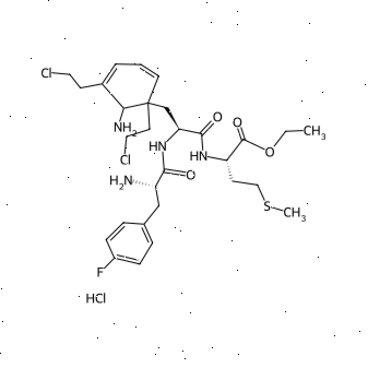 CCOC(=O)[C@H](CCSC)NC(=O)[C@H](CC1(CCCl)C=CC=C(CCCl)C1N)NC(=O)[C@@H](N)Cc1ccc(F)cc1.Cl